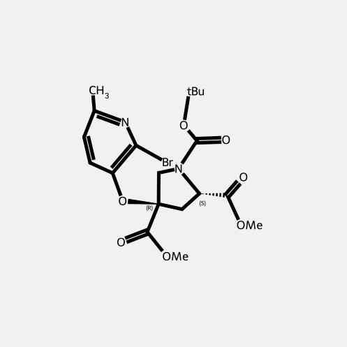 COC(=O)[C@@H]1C[C@](Oc2ccc(C)nc2Br)(C(=O)OC)CN1C(=O)OC(C)(C)C